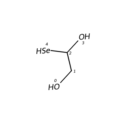 OCC(O)[SeH]